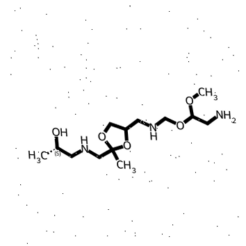 COC(CN)OCNCC1COC(C)(CNC[C@H](C)O)O1